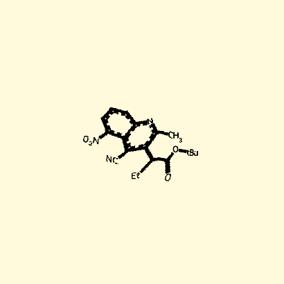 CCC(C(=O)OC(C)(C)C)c1c(C)nc2cccc([N+](=O)[O-])c2c1C#N